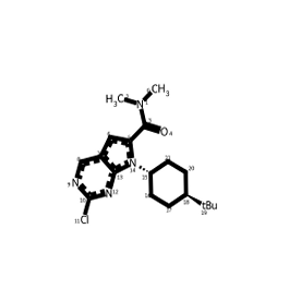 CN(C)C(=O)c1cc2cnc(Cl)nc2n1[C@H]1CC[C@H](C(C)(C)C)CC1